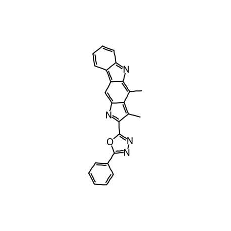 CC1=c2c(cc3c(c2C)N=c2ccccc2=3)N=C1c1nnc(-c2ccccc2)o1